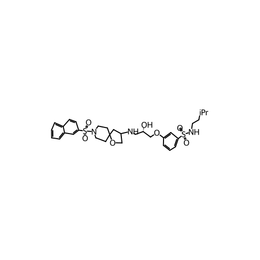 CC(C)CCNS(=O)(=O)c1cccc(OC[C@@H](O)CNC2COC3(CCN(S(=O)(=O)c4ccc5ccccc5c4)CC3)C2)c1